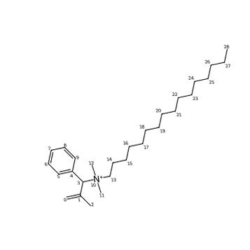 C=C(C)C(c1ccccc1)[N+](C)(C)CCCCCCCCCCCCCCCC